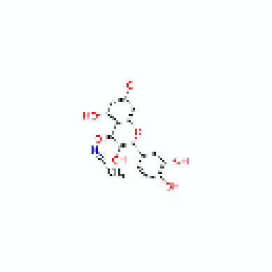 CC#N.O=c1c(O)c(-c2ccc(O)c(O)c2)oc2cc(O)cc(O)c12